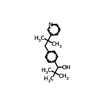 CC(C)(Cc1ccc(C(O)C(C)(C)C)cc1)c1cccnc1